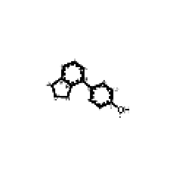 Oc1ccc(-c2cccc3c2CCC3)cc1